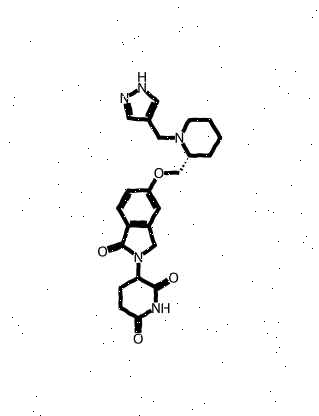 O=C1CCC(N2Cc3cc(OC[C@H]4CCCCN4Cc4cn[nH]c4)ccc3C2=O)C(=O)N1